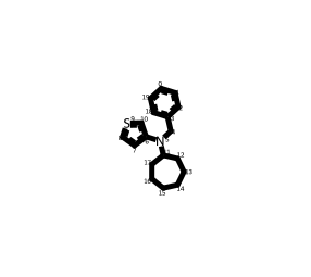 c1ccc(CN(c2ccsc2)C2CCCCCC2)cc1